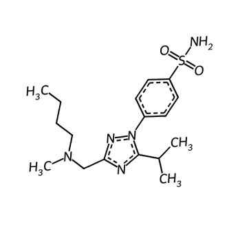 CCCCN(C)Cc1nc(C(C)C)n(-c2ccc(S(N)(=O)=O)cc2)n1